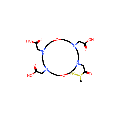 C[SH](S)C(=O)CN1CCOCCN(CC(=O)O)CCN(CC(=O)O)CCOCCN(CC(=O)O)CC1